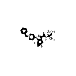 CC(C)(CO)NC(=O)c1nn(C2CCN(Cc3ccccc3)CC2)c2c1C[C@H]1C[C@@H]21